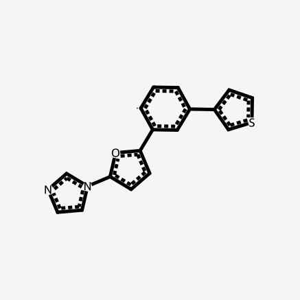 [c]1ccc(-c2ccsc2)cc1-c1ccc(-n2ccnc2)o1